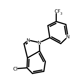 FC(F)(F)c1cncc(-n2ncc3c(Cl)cccc32)c1